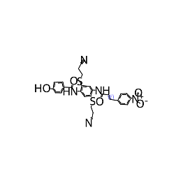 N#CCCSc1cc(NC(=O)c2ccc(O)cc2)c(SCCC#N)cc1NC(=O)/C=C/c1ccc([N+](=O)[O-])cc1